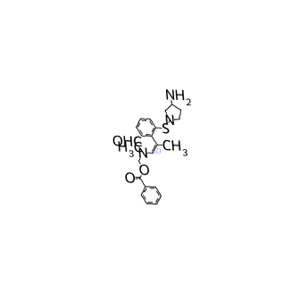 C/C(=C/N(C)COC(=O)c1ccccc1)c1c(C=O)cccc1SN1CCC(N)C1